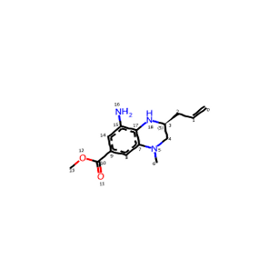 C=CC[C@H]1CN(C)c2cc(C(=O)OC)cc(N)c2N1